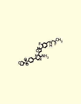 CC(F)CNCc1ccc(-c2cc(-c3nc(C4=CCC(S(=O)(=O)[C@@H]5CCOC5)C=C4)cnc3N)on2)c(F)c1